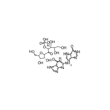 Nc1nc2nc[nH]c2c(=O)[nH]1.O=C(C(OP(=O)(O)O)C(O)C(O)CO)C1O[C@H](CO)[C@@H](O)[C@H]1O.O=c1[nH]cnc2nc[nH]c12